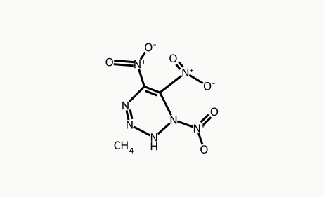 C.O=[N+]([O-])C1=C([N+](=O)[O-])N([N+](=O)[O-])NN=N1